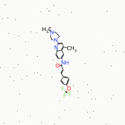 Cc1cc(N2CCN(C)CC2)nc2ccc(NC(=O)/C=C/c3ccc(OC(F)(F)F)cc3)cc12